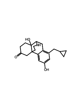 O=C1CCC2(O)C3Cc4c(CC5CC5)cc(O)cc4C2(CCN3)C1